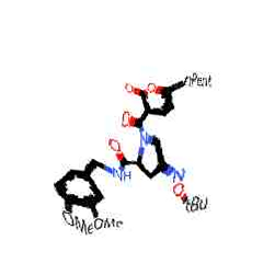 CCCCCc1ccc(C(=O)N2CC(=NOC(C)(C)C)C[C@H]2C(=O)NCc2ccc(OC)c(OC)c2)c(=O)o1